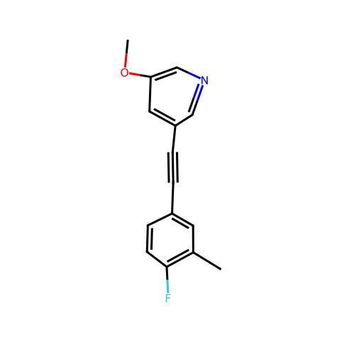 COc1cncc(C#Cc2ccc(F)c(C)c2)c1